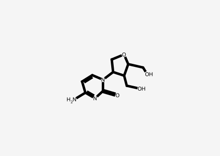 Nc1ccn(C2COC(CO)C2CO)c(=O)n1